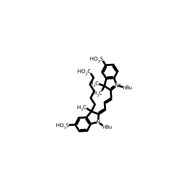 CCCCN1/C(=C/C=C/C2=[N+](CCCC)c3ccc(S(=O)(=O)O)cc3C2(C)C)C(C)(CCCCCC(=O)O)c2cc(S(=O)(=O)O)ccc21